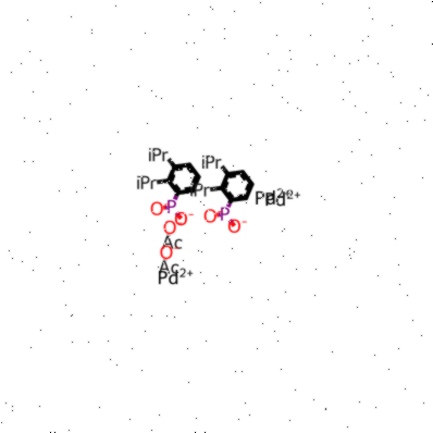 CC(=O)[O-].CC(=O)[O-].CC(C)c1cccc(P([O-])[O-])c1C(C)C.CC(C)c1cccc(P([O-])[O-])c1C(C)C.[Pd+2].[Pd+2].[Pd+2]